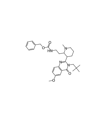 COc1ccc2nc(C3CCCN(C)C3CCNC(=O)OCc3ccccc3)n(CC(C)(C)C)c(=O)c2c1